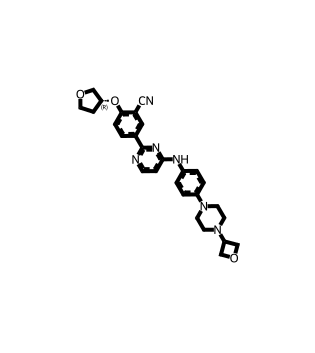 N#Cc1cc(-c2nccc(Nc3ccc(N4CCN(C5COC5)CC4)cc3)n2)ccc1O[C@@H]1CCOC1